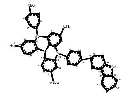 Cc1cc2c3c(c1)N(c1ccc(C(C)(C)C)cc1)c1cc(C(C)(C)C)ccc1B3c1ccc(C(C)(C)C)cc1N2c1ccc(-c2ccc3sc4ccccc4c3c2)cc1